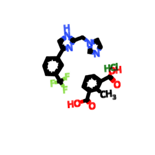 Cc1c(C(=O)O)cccc1C(=O)O.Cl.FC(F)(F)c1cccc(-c2c[nH]c(Cn3ccnc3)n2)c1